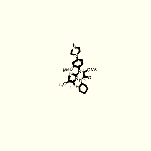 COCC(=O)N[C@@H]1CCCC[C@H]1Nc1nc(Nc2ccc(N3CCN(C)CC3)cc2OC)ncc1C(F)(F)F